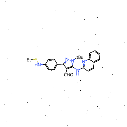 CCSNc1ccc(-c2nn(C(C)(C)C)c(Nc3ccc4ccccc4n3)c2C=O)cc1